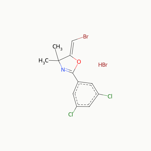 Br.CC1(C)N=C(c2cc(Cl)cc(Cl)c2)OC1=CBr